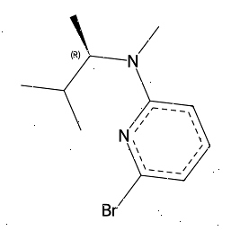 CC(C)[C@@H](C)N(C)c1cccc(Br)n1